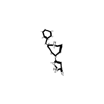 O=c1cc([C@@H]2CCN[C@@H](CC3CCCCC3)C2)o[nH]1